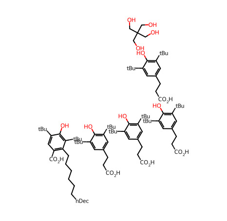 CC(C)(C)c1cc(CCC(=O)O)cc(C(C)(C)C)c1O.CC(C)(C)c1cc(CCC(=O)O)cc(C(C)(C)C)c1O.CC(C)(C)c1cc(CCC(=O)O)cc(C(C)(C)C)c1O.CC(C)(C)c1cc(CCC(=O)O)cc(C(C)(C)C)c1O.CCCCCCCCCCCCCCCCc1c(C(=O)O)cc(C(C)(C)C)c(O)c1C(C)(C)C.OCC(CO)(CO)CO